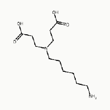 NCCCCCCN(CCC(=O)O)CCC(=O)O